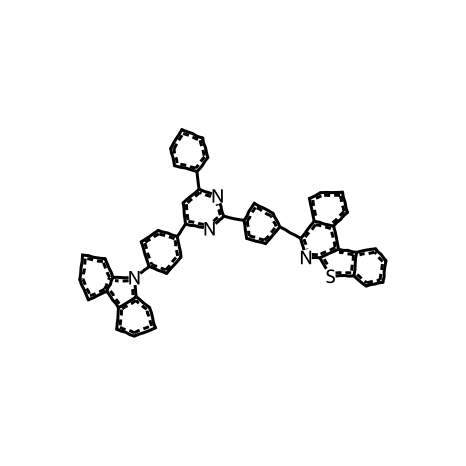 c1ccc(-c2cc(-c3ccc(-n4c5ccccc5c5ccccc54)cc3)nc(-c3ccc(-c4nc5sc6ccccc6c5c5ccccc45)cc3)n2)cc1